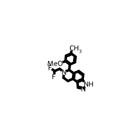 COc1cc(C)ccc1C1c2ccc3[nH]ncc3c2CCN1CC(F)F